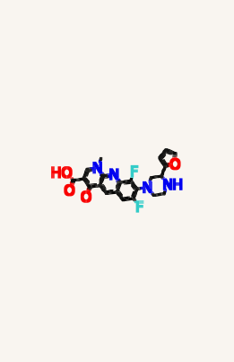 Cn1cc(C(=O)O)c(=O)c2cc3cc(F)c(N4CCNC(c5ccco5)C4)c(F)c3nc21